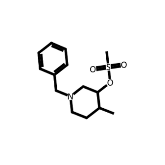 CC1CCN(Cc2ccccc2)CC1OS(C)(=O)=O